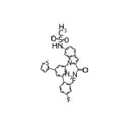 CS(=O)(=O)Nc1ccc2cc(C(N)=O)n(-c3cc(-c4cccs4)cc(-c4ccc(F)cc4F)c3)c2c1